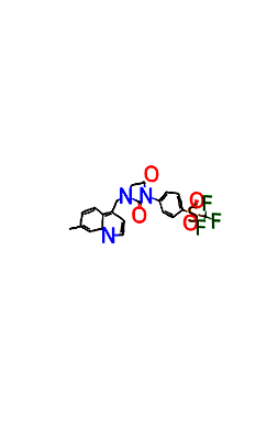 Cc1ccc2c(CN3CC(=O)N(c4ccc(S(=O)(=O)C(F)(F)F)cc4)C3=O)ccnc2c1